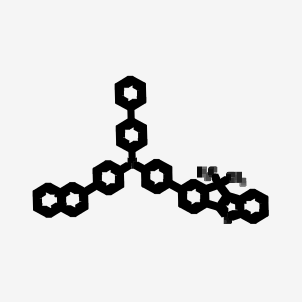 CC1(C)c2cc(-c3ccc(N(c4ccc(-c5ccccc5)cc4)c4ccc(-c5ccc6ccccc6c5)cc4)cc3)ccc2-c2sc3ccccc3c21